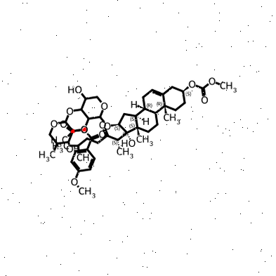 COC(=O)O[C@H]1CC[C@@]2(C)C(=CC[C@@H]3C2CC[C@@]2(C)[C@H]3C[C@H](OC3OCC(O)C(OC4OCC(C)C(O)C4OC(=O)c4ccc(OC)cc4)C3OC(C)=O)[C@]2(O)[C@H](C)C(=O)CCC(C)C)C1